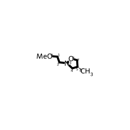 COCCN1C[C@@H](C)CO1